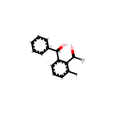 CCC(=O)c1c(C)cccc1C(=O)c1ccccc1